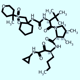 CCCC[C@H](NC(=O)[C@@H]1[C@@H](C)[C@@H](C)CN1C(=O)[C@@H](NC(=O)NC1(CS(=O)(=O)C2(C)CCOCC2)CCCCC1)C(C)(C)C)C(=O)C(=O)NC1CC1